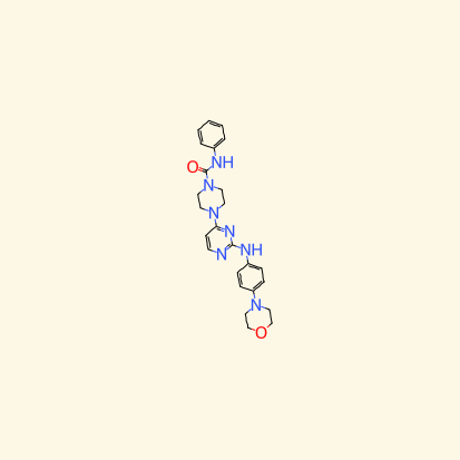 O=C(Nc1ccccc1)N1CCN(c2ccnc(Nc3ccc(N4CCOCC4)cc3)n2)CC1